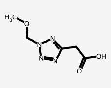 COCn1nnc(CC(=O)O)n1